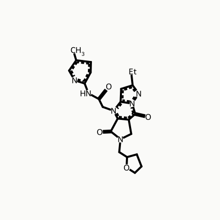 CCc1cc2n(CC(=O)Nc3ccc(C)cn3)c3c(c(=O)n2n1)CN(CC1CCCO1)C3=O